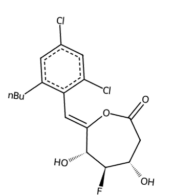 CCCCc1cc(Cl)cc(Cl)c1C=C1OC(=O)C[C@H](O)[C@@H](F)[C@@H]1O